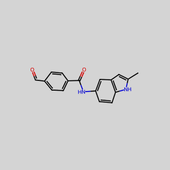 Cc1cc2cc(NC(=O)c3ccc(C=O)cc3)ccc2[nH]1